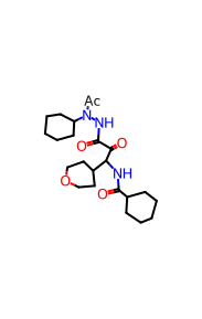 CC(=O)N(NC(=O)C(=O)C(NC(=O)C1CCCCC1)C1CCOCC1)C1CCCCC1